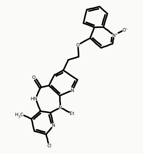 CCN1c2ncc(CCOc3cc[n+]([O-])c4ccccc34)cc2C(=O)Nc2c(C)cc(Cl)nc21